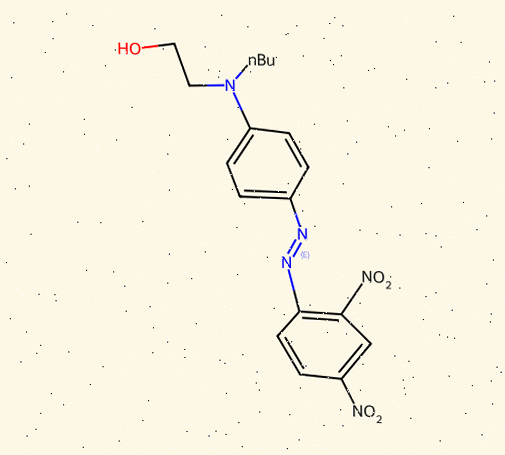 CCCCN(CCO)c1ccc(/N=N/c2ccc([N+](=O)[O-])cc2[N+](=O)[O-])cc1